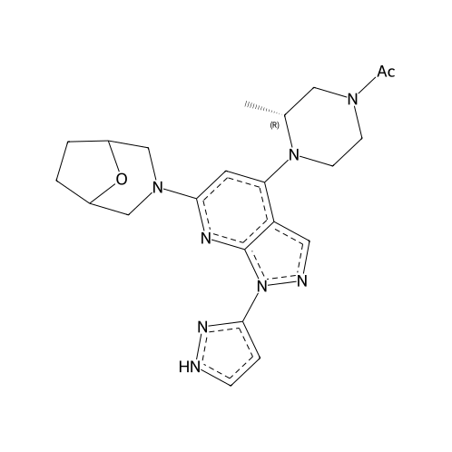 CC(=O)N1CCN(c2cc(N3CC4CCC(C3)O4)nc3c2cnn3-c2cc[nH]n2)[C@H](C)C1